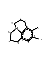 Cc1c(F)cc2c3c1CCCN3CCC2